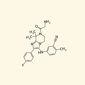 Cc1ccc(Nc2c(-c3ccc(F)cc3)nc3n2CCN(C(=O)CN)C3(C)C)cc1C#N